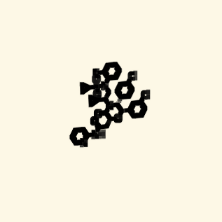 O=C(C[C@@H]1O[C@H](c2cccc(Cl)c2)[C@@H](c2ccc(Cl)cc2)N([C@H](CN(c2ccccc2F)S(=O)(=O)C2CC2)C2CC2)C1=O)Nc1ccccn1